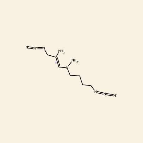 [N-]=[N+]=NCCCCN(N)/C=C(\N)CN=[N+]=[N-]